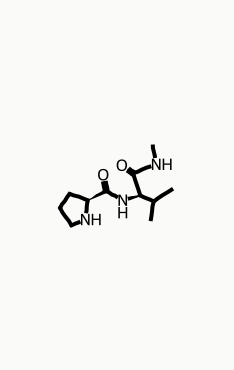 CNC(=O)[C@H](NC(=O)[C@@H]1CCCN1)C(C)C